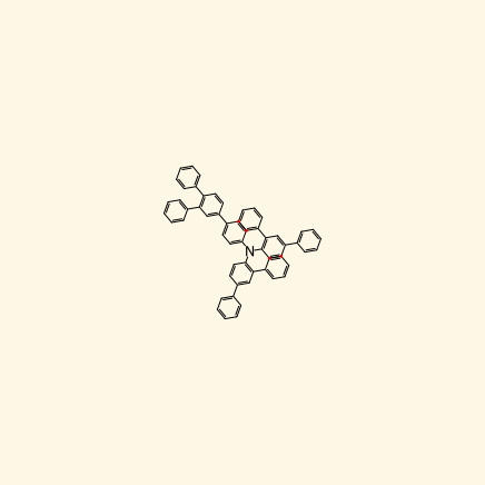 c1ccc(-c2ccc(N(c3ccc(-c4ccc(-c5ccccc5)c(-c5ccccc5)c4)cc3)c3ccc(-c4ccccc4)cc3-c3ccccc3)c(-c3ccccc3)c2)cc1